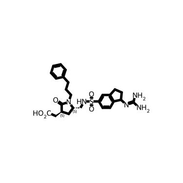 NC(N)=NC1CCc2cc(S(=O)(=O)NC[C@@H]3C[C@@H](CC(=O)O)C(=O)N3CCCc3ccccc3)ccc21